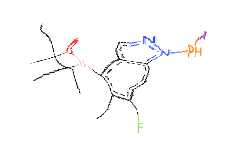 Cc1c(F)cc2c(cnn2PI)c1B1OC(C)(C)C1(C)C